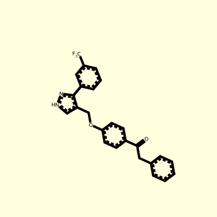 O=C(Cc1ccccc1)c1ccc(OCc2c[nH]nc2-c2cccc(C(F)(F)F)c2)cc1